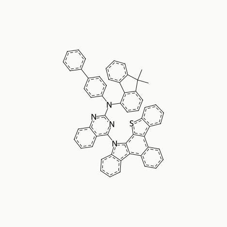 CC1(C)c2ccccc2-c2c(N(c3ccc(-c4ccccc4)cc3)c3nc(-n4c5ccccc5c5c6ccccc6c6c7ccccc7sc6c54)c4ccccc4n3)cccc21